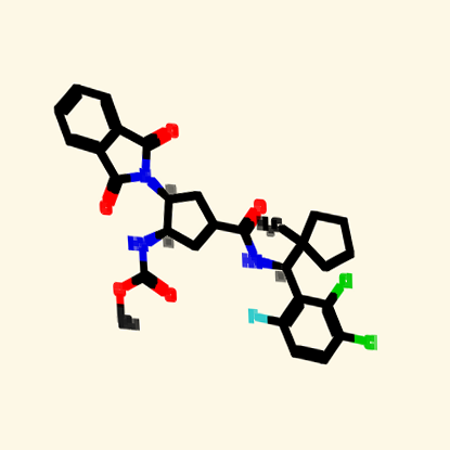 CC(C)(C)OC(=O)N[C@@H]1CC(C(=O)N[C@H](c2c(F)ccc(Cl)c2Cl)C2(C)CCCC2)C[C@@H]1N1C(=O)c2ccccc2C1=O